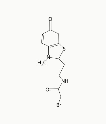 CN1C2=C(CC(=O)C=C2)SC1CCNC(=O)CBr